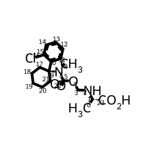 C[C@H](NCOC(=O)N(C)[C@]1(c2ccccc2Cl)CCCCC1=O)C(=O)O